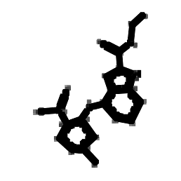 CCOC(=O)c1cc2c(Oc3cc(C)ccc3[N+](=O)[O-])cccc2[nH]1